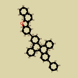 c1ccc(-c2ccc3c(c2)c2ccccc2c2c4ccc(-c5ccc6oc7c8ccccc8ccc7c6c5)cc4c4ccccc4c32)cc1